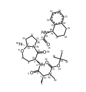 C[C@@H](C(=O)N[C@H]1CCO[C@H]2CC[C@H](C(=O)N[C@@H]3CCCc4ccccc43)N2C1=O)N(C)C(=O)OC(C)(C)C